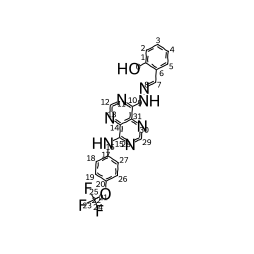 Oc1ccccc1/C=N/Nc1ncnc2c(Nc3ccc(OC(F)(F)F)cc3)ncnc12